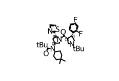 CC1(C)CCC(N(C(=O)C(C)(C)C)[C@H]2C[C@H](c3nccs3)N(C(=O)[C@@H]3CN(C(C)(C)C)C[C@H]3c3ccc(F)cc3F)C2)CC1